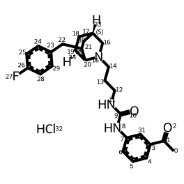 CC(=O)c1cccc(NC(=O)NCCCN2C[C@H]3CCC2[C@@H](Cc2ccc(F)cc2)C3)c1.Cl